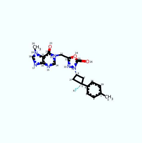 Cc1ccc([C@]2(F)C[C@@H](n3nc(Cn4cnc5ncn(C)c5c4=O)oc3=O)C2)cc1